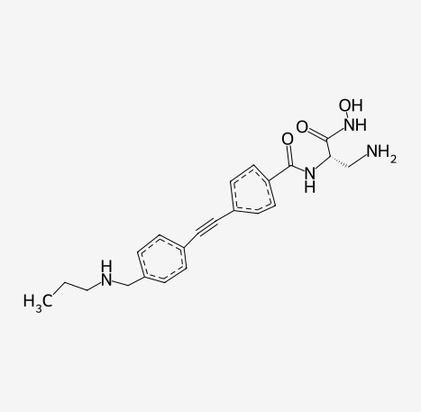 CCCNCc1ccc(C#Cc2ccc(C(=O)N[C@@H](CN)C(=O)NO)cc2)cc1